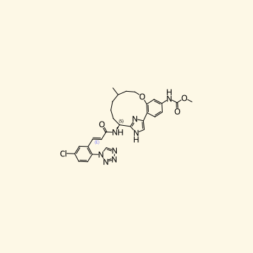 COC(=O)Nc1ccc2c(c1)OCCC(C)CCC[C@H](NC(=O)/C=C/c1cc(Cl)ccc1-n1cnnn1)c1nc-2c[nH]1